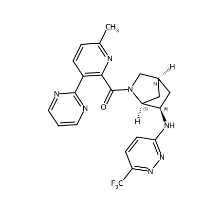 Cc1ccc(-c2ncccn2)c(C(=O)N2C[C@H]3C[C@@H](Nc4ccc(C(F)(F)F)nn4)[C@@H]2C3)n1